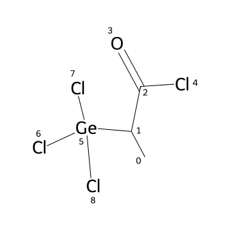 C[CH](C(=O)Cl)[Ge]([Cl])([Cl])[Cl]